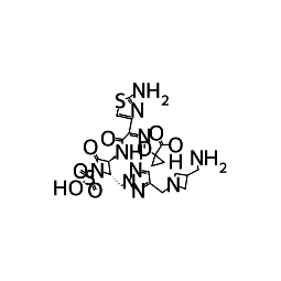 NCC1CN(Cc2cnn(C[C@H]3[C@H](NC(=O)C(=NOC4(C(=O)O)CC4)c4csc(N)n4)C(=O)N3S(=O)(=O)O)n2)C1